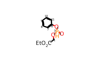 CCOC(=O)CO[PH](=O)Oc1ccccc1